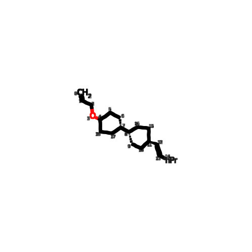 C=CCO[C@H]1CC[C@H]([C@H]2CC[C@H](C=CCCC)CC2)CC1